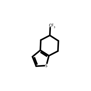 FC(F)(F)C1CCc2sccc2C1